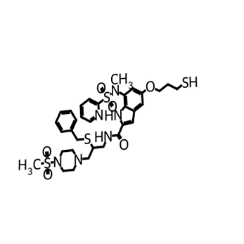 CN(c1cc(OCCCS)cc2cc(C(=O)NCC(CN3CCN(S(C)(=O)=O)CC3)SCc3ccccc3)[nH]c12)S(=O)(=O)c1ccccn1